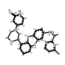 Cc1ccnc(C(C)Nc2ccc3c(c2)Sc2cccc(C4CN(c5cc[nH]c(=O)c5)CCO4)c2S3)n1